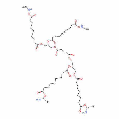 CCCCNOC(=O)CCCCCCCC(=O)OCC(COC(=O)CCCC(=O)OCC(COC(=O)CCCCCCCC(=O)OC(N)CCC)OC(=O)CCCCCCCC(=O)OC(N)CCC)OC(=O)CCCCCCCC(=O)ONCCCC